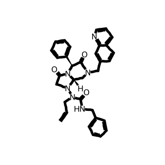 C=CCN(C(=O)NCc1ccccc1)N1CC(=O)N2[C@@H](c3ccccc3)C(=O)N(Cc3ccc4cccnc4c3)C[C@@H]21